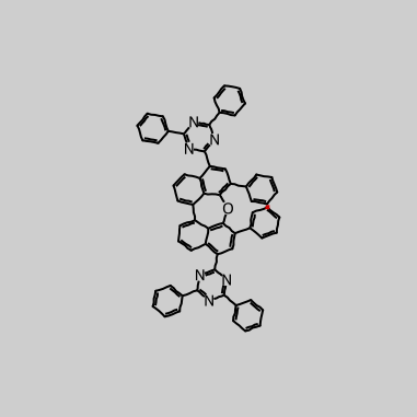 c1ccc(-c2nc(-c3ccccc3)nc(-c3cc(-c4ccccc4)c4oc5c(-c6ccccc6)cc(-c6nc(-c7ccccc7)nc(-c7ccccc7)n6)c6cccc(c7cccc3c47)c65)n2)cc1